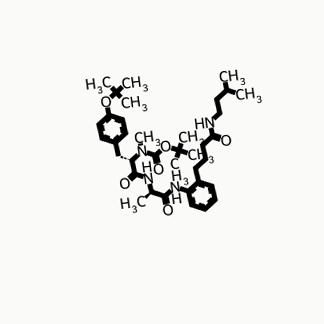 CC(C)CCNC(=O)CCCc1ccccc1NC(=O)[C@@H](C)NC(=O)[C@H](Cc1ccc(OC(C)(C)C)cc1)N(C)C(=O)OC(C)(C)C